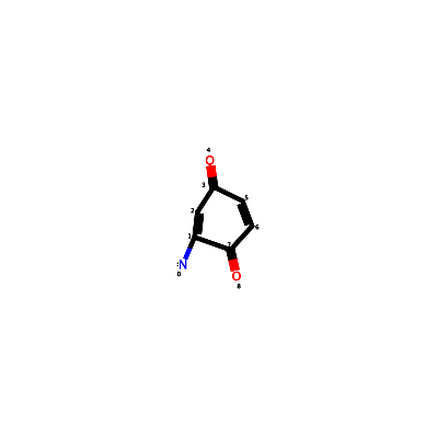 [N]C1=CC(=O)C=CC1=O